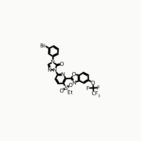 CCS(=O)(=O)c1ccc(-n2ncn(-c3cccc(Br)c3)c2=O)nc1-c1nc2cc(OC(F)(F)C(F)(F)F)ccc2o1